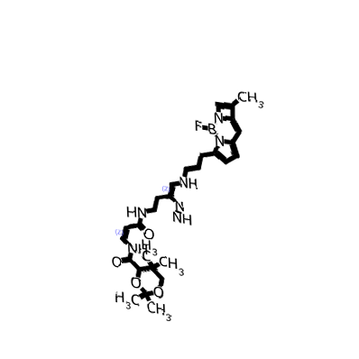 CC1=CN2B(F)n3c(ccc3CCCN/C=C(/CCNC(=O)/C=C\NC(=O)C3OC(C)(C)OCC3(C)C)N=N)C=C12